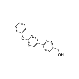 OCc1ccc(-c2cnc(Oc3ccccc3)nc2)nn1